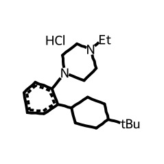 CCN1CCN(c2ccccc2C2CCC(C(C)(C)C)CC2)CC1.Cl